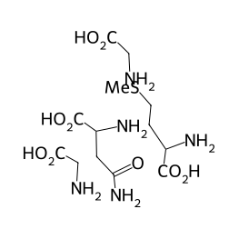 CSCCC(N)C(=O)O.NC(=O)CC(N)C(=O)O.NCC(=O)O.NCC(=O)O